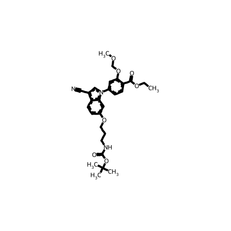 CCOC(=O)c1ccc(-n2cc(C#N)c3ccc(OCCCNC(=O)OC(C)(C)C)cc32)cc1OCOC